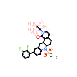 BC(B)(B)C(B)(B)n1ccc2c(c1=O)C(Cc1cccc(-c3cccc(F)c3F)c1)C(NS(C)(=O)=O)CC2